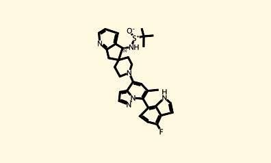 Cc1cc(N2CCC3(CC2)Cc2ncccc2[C@H]3N[S+]([O-])C(C)(C)C)c2ccnn2c1-c1ccc(F)c2cc[nH]c12